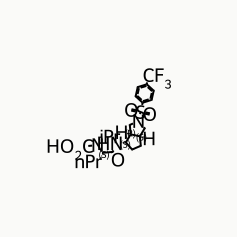 CCC[C@@H](C(=O)N[C@H]1CC[C@@H]2CN(S(=O)(=O)c3ccc(C(F)(F)F)cc3)C[C@@H]21)N(C(=O)O)C(C)C